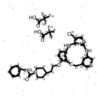 O=C(Nc1ccccc1)N1CCC(CCOc2ccc3cc2CCc2cncc(c2)Nc2ncc(Cl)c(n2)N3)CC1.O=C(O)C(F)(F)F.O=C(O)C(F)(F)F